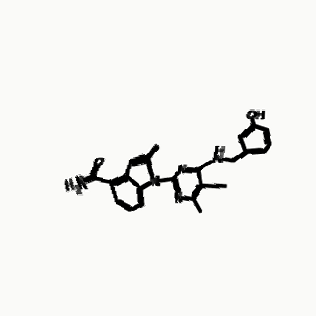 Cc1nc(-n2c(C)cc3c(C(N)=O)cccc32)nc(NCc2cccc(O)c2)c1C